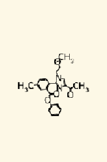 COCCn1cc(C(C)=O)nc1-c1ccc(C)cc1C(=O)Oc1ccccc1